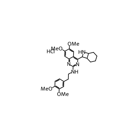 COc1ccc(CCNc2nc(C3NC4CCCCC43)c3cc(OC)c(OC)cc3n2)cc1OC.Cl